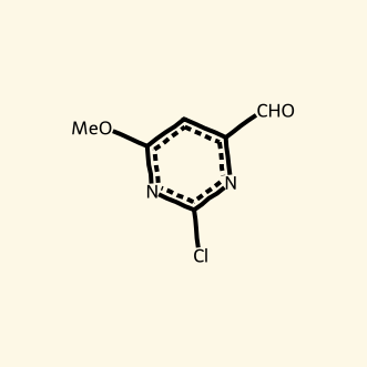 COc1cc(C=O)nc(Cl)n1